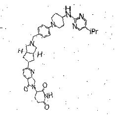 CC(C)c1cnc(NC2CCN(c3ccc(CN4C[C@H]5CC(c6ccc7c(n6)CN(C6CCC(=O)NC6=O)C7=O)C[C@H]5C4)cc3)CC2)nc1